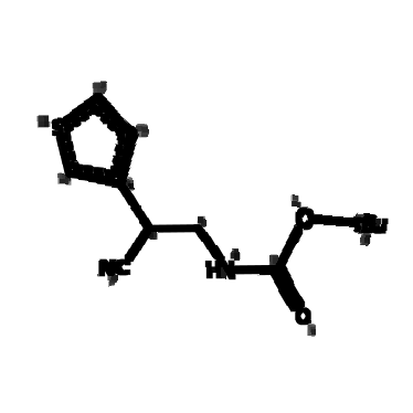 CC(C)(C)OC(=O)NCC(C#N)c1ccsc1